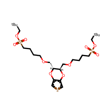 CC(C)(C)COS(=O)(=O)CCCCOC[C@H]1Oc2cscc2O[C@@H]1COCCCCS(=O)(=O)OCC(C)(C)C